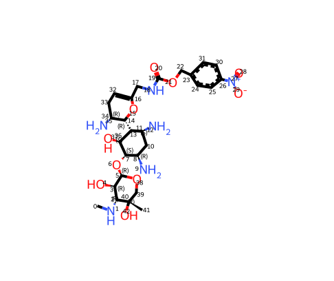 CN[C@@H]1[C@@H](O)[C@@H](O[C@H]2[C@H](N)C[C@H](N)C([C@H]3OC(CNC(=O)OCc4ccc([N+](=O)[O-])cc4)=CC[C@H]3N)[C@@H]2O)OC[C@]1(C)O